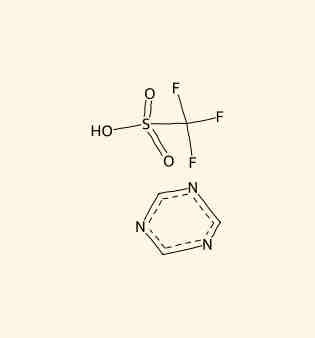 O=S(=O)(O)C(F)(F)F.c1ncncn1